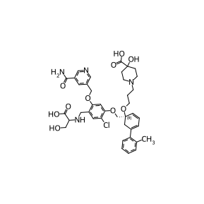 Cc1ccccc1C1=CC=C[C@](COc2cc(OCc3cncc(C(N)=O)c3)c(CNC(CO)C(=O)O)cc2Cl)(OCCCN2CCC(O)(C(=O)O)CC2)C1